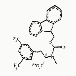 CN(C(=O)OCC1c2ccccc2-c2ccccc21)[C@@H](Cc1cc(C(F)(F)F)cc(C(F)(F)F)c1)C(=O)O